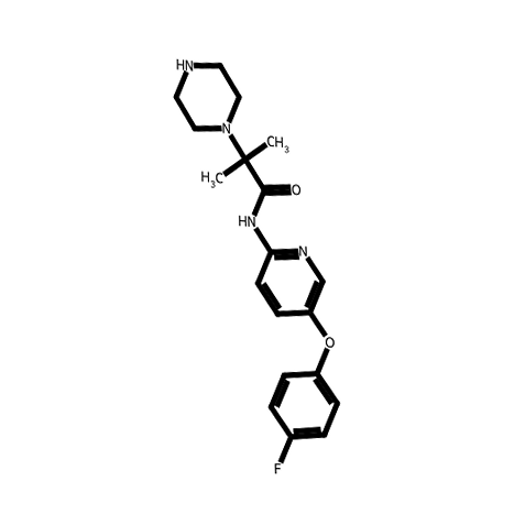 CC(C)(C(=O)Nc1ccc(Oc2ccc(F)cc2)cn1)N1CCNCC1